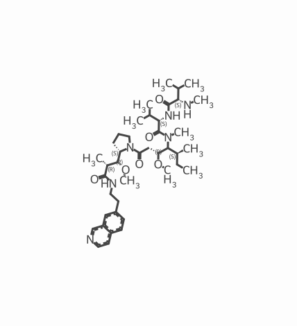 CC[C@H](C)C([C@@H](CC(=O)N1CCC[C@H]1[C@H](OC)[C@@H](C)C(=O)NCCc1ccc2ccncc2c1)OC)N(C)C(=O)[C@@H](NC(=O)[C@@H](NC)C(C)C)C(C)C